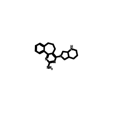 Nc1nc2c(c(N3CC4CCCNC4C3)n1)CCCc1ccccc1-2